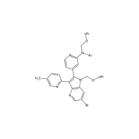 CCCOCN(C(C)=O)c1cc(-c2c(-c3ccc(C)cn3)c3ncc(Br)cc3n2COCCC)ccn1